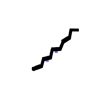 CCC=C/C=C/C=C/C=O